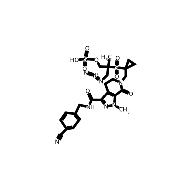 Cn1nc(C(=O)NCc2ccc(C#N)cc2)c2c1C(=O)N(CC1(S(=O)(=O)C(C)(CN=[N+]=[N-])COS(=O)(=O)O)CC1)CC2